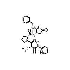 C[C@H](NC(=O)c1ccccn1)C(=O)N1CCC[C@H]1C(=O)N[C@H]1CC(=O)OC1OCc1ccccc1